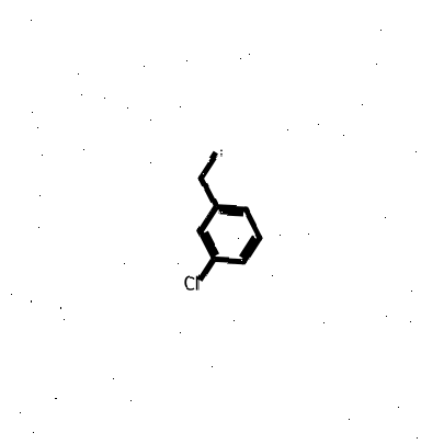 [CH]Cc1cccc(Cl)c1